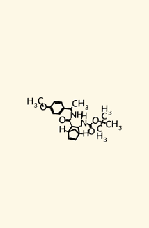 COc1ccc([C@@H](C)NC(=O)[C@H]2[C@H](NC(=O)OC(C)(C)C)[C@@H]3C=C[C@H]2C3)cc1